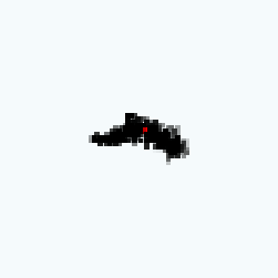 CCCCCc1ccc(-c2cc(F)c(C(F)(F)Oc3cc(F)c(-c4cc(F)c(-c5cc(F)c(F)c(F)c5)c(Cl)c4)c(F)c3)c(F)c2)cc1